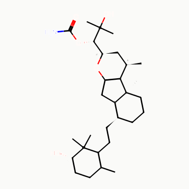 CC1CC[C@H](O)C(C)(C)C1CC[C@@H]1CCC[C@@]2(C)C1CC1O[C@@H]([C@H](OC(N)=O)C(C)(C)O)C[C@@H](C)C12